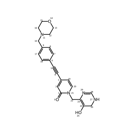 O=c1cc(C#Cc2ccc(CN3CCOCC3)cc2)ccn1CC1=C(O)CNC=N1